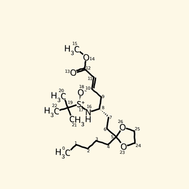 CCCCCC1(CC[C@@H](C/C=C/C(=O)OC)N[S@@+]([O-])C(C)(C)C)OCCO1